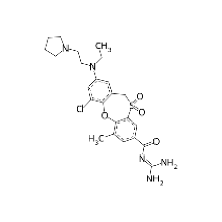 CCN(CCN1CCCC1)c1cc(Cl)c2c(c1)CS(=O)(=O)c1cc(C(=O)N=C(N)N)cc(C)c1O2